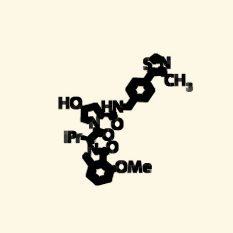 COc1cccc2c1C(=O)N([C@H](C(=O)N1C[C@H](O)C[C@H]1C(=O)NCc1ccc(-c3scnc3C)cc1)C(C)C)C2